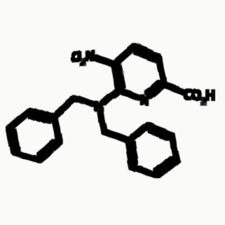 O=C(O)c1ccc([N+](=O)[O-])c(N(Cc2ccccc2)Cc2ccccc2)n1